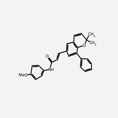 COc1ccc(NC(=O)/C=C/c2cc3c(c(-c4ccccc4)c2)OC(C)(C)C=C3)cc1